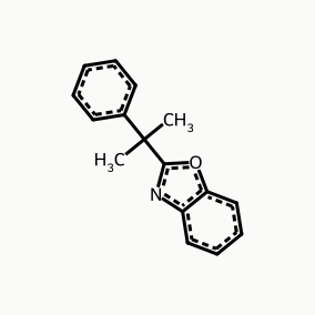 CC(C)(c1ccccc1)c1nc2ccccc2o1